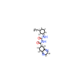 CC(C)c1cccc(NC(=O)NC(=O)c2ccc3nccnc3c2)c1